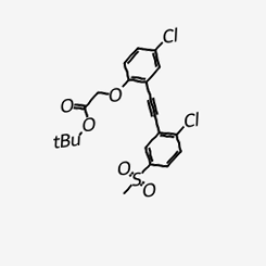 CC(C)(C)OC(=O)COc1ccc(Cl)cc1C#Cc1cc(S(C)(=O)=O)ccc1Cl